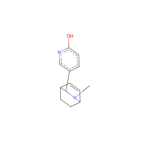 CN1C2C=CC(CC2)C1c1ccc(O)nc1